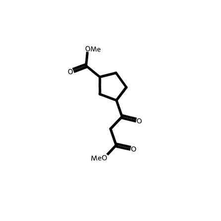 COC(=O)CC(=O)C1CCC(C(=O)OC)C1